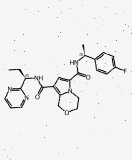 CC[C@@H](NC(=O)c1cc(C(=O)N[C@@H](C)c2ccc(F)cc2)n2c1COCC2)c1ncccn1